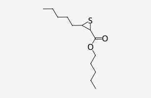 CCCCCOC(=O)C1SC1CCCCC